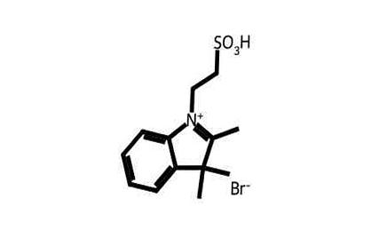 CC1=[N+](CCS(=O)(=O)O)c2ccccc2C1(C)C.[Br-]